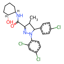 CC1C(C(=O)N[C@@H]2CCCC[C@H]2O)=NN(c2ccc(Cl)cc2Cl)C1c1ccc(Cl)cc1